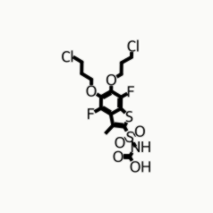 Cc1c(S(=O)(=O)NC(=O)O)sc2c(F)c(OCCCCl)c(OCCCCl)c(F)c12